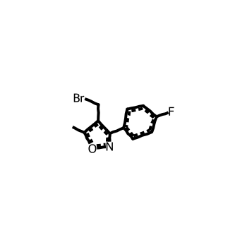 Cc1onc(-c2ccc(F)cc2)c1CBr